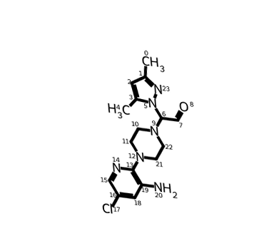 Cc1cc(C)n(C(C=O)N2CCN(c3ncc(Cl)cc3N)CC2)n1